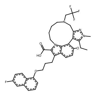 CCc1c2c(nn1C)CN(CC(F)(F)F)CCCCn1c(C(=O)O)c(CCCOc3cccc4cc(F)ccc34)c3ccc(Cl)c-2c31